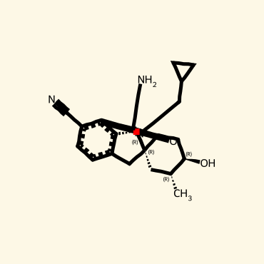 C[C@@H]1C[C@]2(CC[C@H]1O)Cc1ccc(C#N)cc1[C@]21N=C(N)N(CC2CC2)C1=O